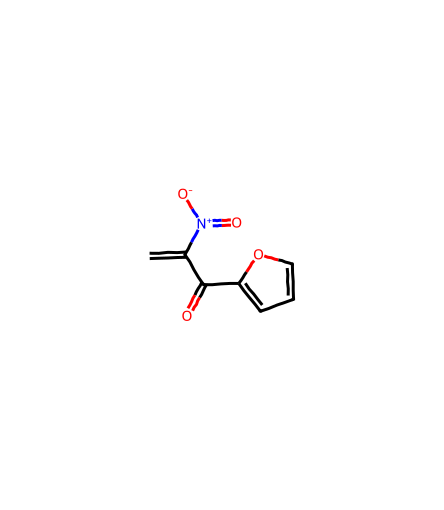 C=C(C(=O)c1ccco1)[N+](=O)[O-]